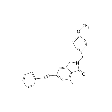 Cc1cc(C#Cc2ccccc2)cc2c1C(=O)N(Cc1ccc(OC(F)(F)F)cc1)C2